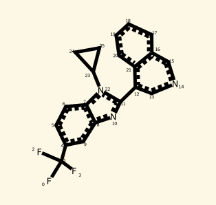 FC(F)(F)c1ccc2c(c1)nc(-c1cncc3ccccc13)n2C1CC1